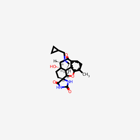 Cc1ccc2c3c1O[C@@H]1[C@]34CCN(CC3CC3)[C@H](C2=O)[C@]4(O)CC[C@]12NC(=O)NC2=O